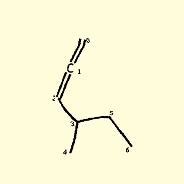 C=C=CC(C)CC